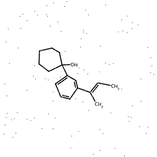 CC=C(C)c1cccc(C2(O)CCCCC2)c1